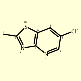 Cc1nc2ncc(Cl)cc2s1